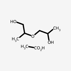 CC(=O)O.CC(O)COC(C)CO